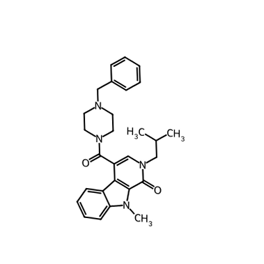 CC(C)Cn1cc(C(=O)N2CCN(Cc3ccccc3)CC2)c2c3ccccc3n(C)c2c1=O